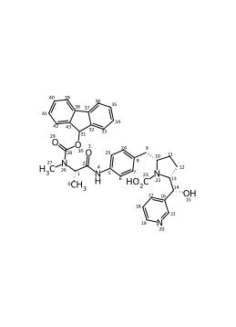 C[C@@H](C(=O)Nc1ccc(C[C@@H]2CC[C@H]([C@H](O)c3cccnc3)N2C(=O)O)cc1)N(C)C(=O)OC1c2ccccc2-c2ccccc21